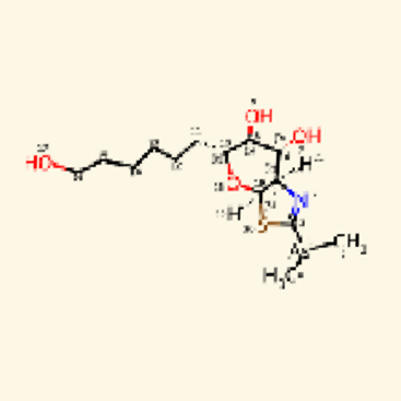 C[As](C)C1=N[C@@H]2[C@@H](O)[C@H](O)[C@@H](CCCCCCO)O[C@@H]2S1